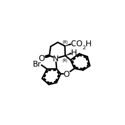 O=C(O)[C@@H]1CCC(=O)N2c3c(Br)cccc3Oc3ccccc3[C@@H]12